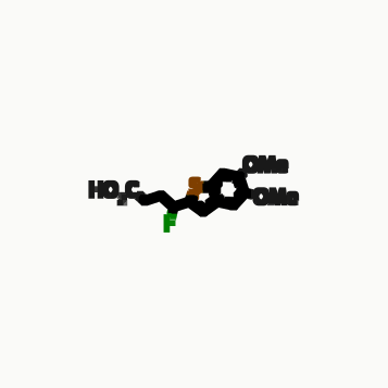 COc1cc2cc(C(F)CCC(=O)O)sc2cc1OC